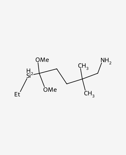 CC[SiH2]C(CCC(C)(C)CN)(OC)OC